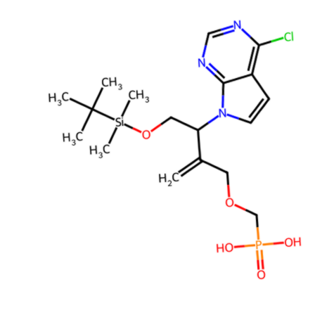 C=C(COCP(=O)(O)O)C(CO[Si](C)(C)C(C)(C)C)n1ccc2c(Cl)ncnc21